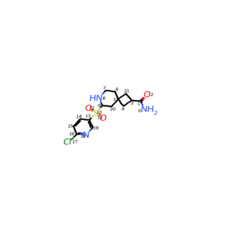 NC(=O)C1CC2(CCNC(S(=O)(=O)c3ccc(Cl)nc3)C2)C1